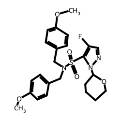 COc1ccc(CN(Cc2ccc(OC)cc2)S(=O)(=O)c2c(F)cnn2C2CCCCO2)cc1